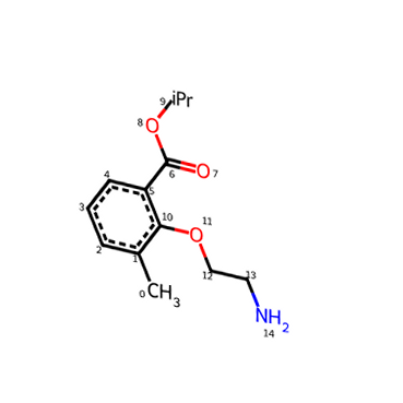 Cc1cccc(C(=O)OC(C)C)c1OCCN